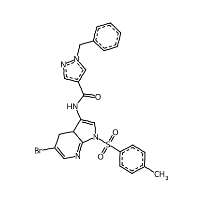 Cc1ccc(S(=O)(=O)N2C=C(NC(=O)c3cnn(Cc4ccccc4)c3)C3CC(Br)=CN=C32)cc1